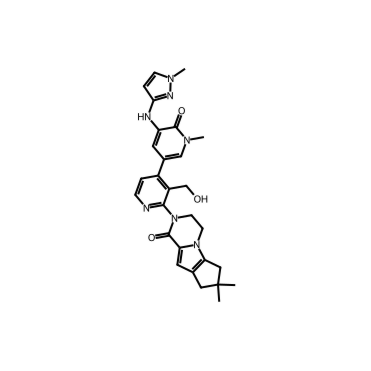 Cn1ccc(Nc2cc(-c3ccnc(N4CCn5c(cc6c5CC(C)(C)C6)C4=O)c3CO)cn(C)c2=O)n1